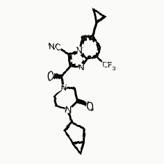 N#Cc1c(C(=O)N2CCN(C3CC4CC4C3)C(=O)C2)nc2c(C(F)(F)F)cc(C3CC3)cn12